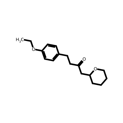 CCOc1ccc(CCC(=O)CC2CCCCO2)cc1